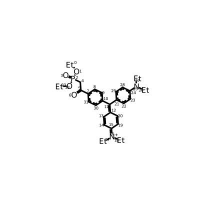 CCOP(=O)(CC(=O)c1ccc(C(=C2C=CC(=[N+](CC)CC)C=C2)c2ccc(N(CC)CC)cc2)cc1)OCC